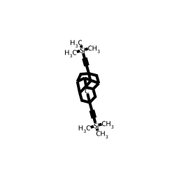 C[Si](C)(C)C#CC12CC3C4CC5(C#C[Si](C)(C)C)CC3C(C1)C(C5)C4C2